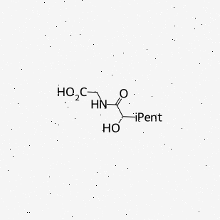 CCCC(C)C(O)C(=O)NCC(=O)O